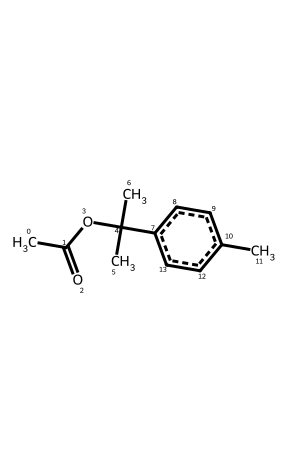 CC(=O)OC(C)(C)c1ccc(C)cc1